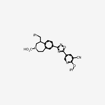 CC(C)CC1CN(C(=O)O)CCc2cc(-c3noc(-c4cnc(OC(C)C)c(C#N)c4)n3)ccc21